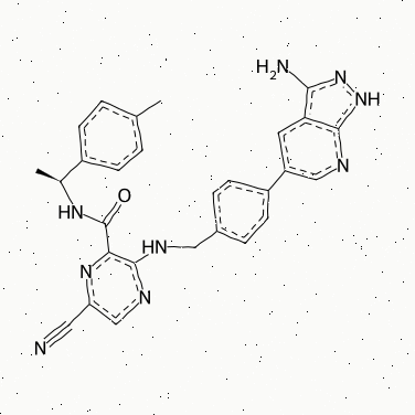 Cc1ccc([C@H](C)NC(=O)c2nc(C#N)cnc2NCc2ccc(-c3cnc4[nH]nc(N)c4c3)cc2)cc1